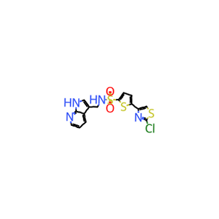 O=S(=O)(NCc1c[nH]c2ncccc12)c1ccc(-c2csc(Cl)n2)s1